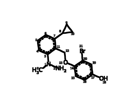 CN(N)c1cccc(C2CC2)c1COc1ccc(O)cc1Br